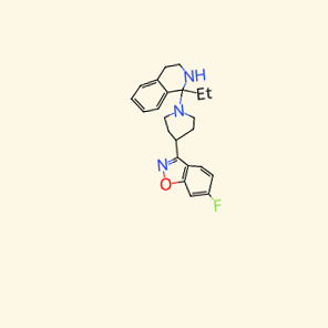 CCC1(N2CCC(c3noc4cc(F)ccc34)CC2)NCCc2ccccc21